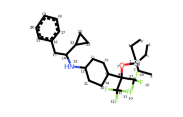 CC[Si](CC)(CC)OC(C1CCC(NC(Cc2ccccc2)C2CC2)CC1)(C(F)(F)F)C(F)(F)F